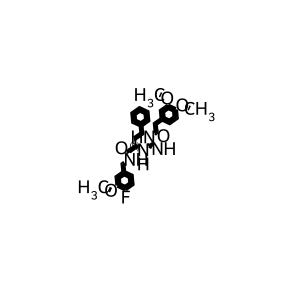 COc1cc(CNC(=O)[C@@H](CCc2ccccc2)NC(=N)NC(=O)Cc2ccc(OC)c(OC)c2)ccc1F